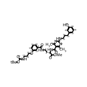 COC(=O)[C@H](CCNC(=O)c1cccc(OCCCNC(=O)OC(C)(C)C)c1)NC(=O)c1c(C)nc(NCCCc2cccc(O)c2)nc1C